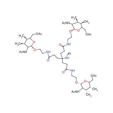 CC(=O)NC1[C@H](OCCNC(=O)CCC(CCC(=O)NCCO[C@@H]2OC(COC(C)=O)[C@H](C)[C@H](C)C2NC(C)=O)(CCC(=O)NCCO[C@@H]2OC(COC(C)=O)[C@H](C)[C@H](C)C2NC(C)=O)NC(C)C)OC(COC(C)=O)[C@H](C)[C@@H]1C